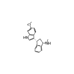 CN[C@@H]1C[C@@H](c2c[nH]c3cc(OC)ccc23)c2ccccc21